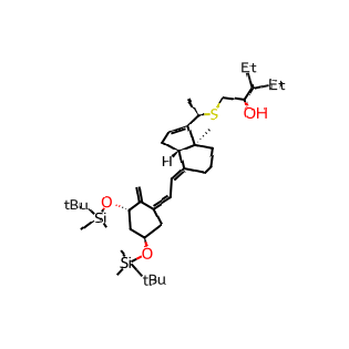 C=C1C(=CC=C2CCC[C@]3(C)C([C@@H](C)SCC(O)C(CC)CC)=CC[C@@H]23)C[C@@H](O[Si](C)(C)C(C)(C)C)C[C@@H]1O[Si](C)(C)C(C)(C)C